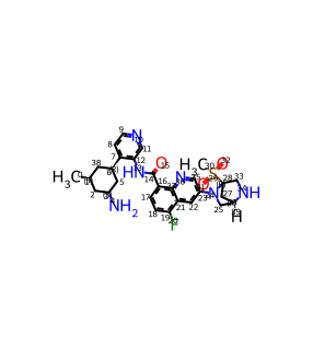 C[C@@H]1C[C@H](N)C[C@H](c2ccncc2NC(=O)c2ccc(F)c3cc(N4C[C@H]5C[C@@]4(S(C)(=O)=O)CN5)cnc23)C1